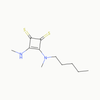 CCCCCN(C)c1c(NC)c(=S)c1=S